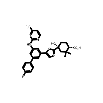 CC1(C)C[C@@](O)(c2ncc(-c3cc(Nc4nccc(C(F)(F)F)n4)cc(-c4ccc(F)cc4)c3)s2)CC[C@@H]1C(=O)O